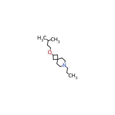 CCCN1CCC2(CC1)CC(OCCC(C)C)C2